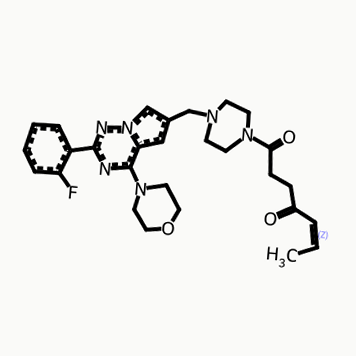 C/C=C\C(=O)CCC(=O)N1CCN(Cc2cc3c(N4CCOCC4)nc(-c4ccccc4F)nn3c2)CC1